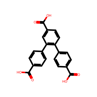 O=C(O)c1ccc(-c2ccc(C(=O)O)cc2-c2ccc(C(=O)O)cc2)cc1